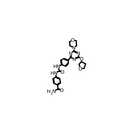 NC(=O)c1ccc(NC(=O)Nc2ccc(-c3nc(OC4CCOC4)nc(N4CCOCC4)n3)cc2)cc1